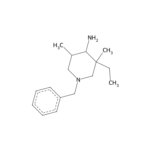 CCC1(C)CN(Cc2ccccc2)CC(C)C1N